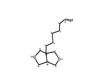 CCCCCCCCCCCCC12COCN1COC2